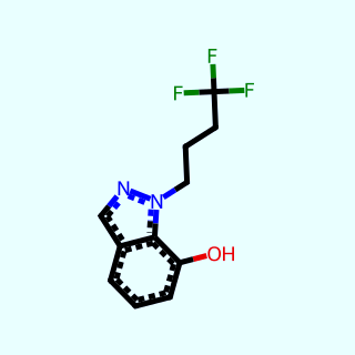 Oc1cccc2cnn(CCCC(F)(F)F)c12